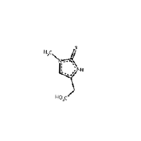 Cn1cc(CC(=O)O)[nH]c1=S